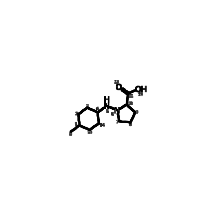 CC1CCC(NN2CCCC2C(=O)O)CC1